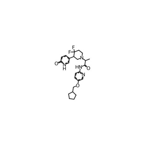 CC(C(=O)Nc1ccc(OCC2CCCC2)cn1)N1CCC(F)(F)C(c2ccc(=O)[nH]c2)C1